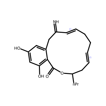 CCCC1C/C=C/CC/C=C/C(=N)Cc2cc(O)cc(O)c2C(=O)O1